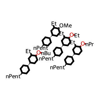 CCCCC[C@H]1CC[C@H](C2CCC(OC)C(CC)C2)CC1.CCCCC[C@H]1CC[C@H](C2CCC(OCC)C(CC)C2)CC1.CCCCC[C@H]1CC[C@H](C2CCC(OCCC)C(CC)C2)CC1.CCCCC[C@H]1CC[C@H](C2CCC(OCCCC)C(CC)C2)CC1